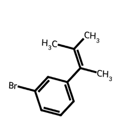 CC(C)=C(C)c1cccc(Br)c1